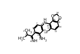 CC(C)C(=N)c1ccc(Nc2c(F)ccc3c2OCO3)cc1N